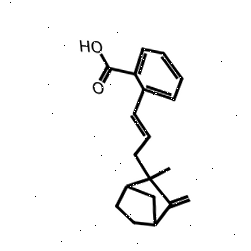 C=C1C2CCC(C2)C1(C)C/C=C/c1ccccc1C(=O)O